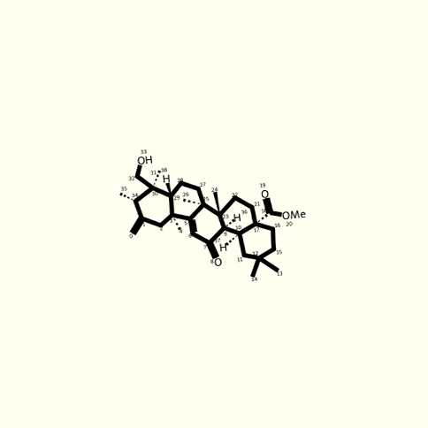 C=C1C[C@]2(C)C3=CC(=O)[C@@H]4[C@@H]5CC(C)(C)CC[C@]5(C(=O)OC)CC[C@@]4(C)[C@]3(C)CC[C@H]2[C@](C)(CO)[C@H]1C